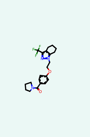 O=C(c1ccc(OCCn2nc(C(F)(F)F)c3c2CCCC3)cc1)N1CCCC1